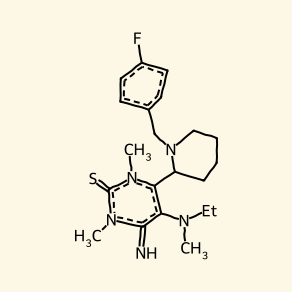 CCN(C)c1c(C2CCCCN2Cc2ccc(F)cc2)n(C)c(=S)n(C)c1=N